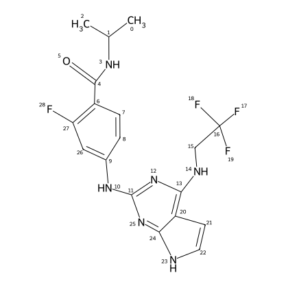 CC(C)NC(=O)c1ccc(Nc2nc(NCC(F)(F)F)c3cc[nH]c3n2)cc1F